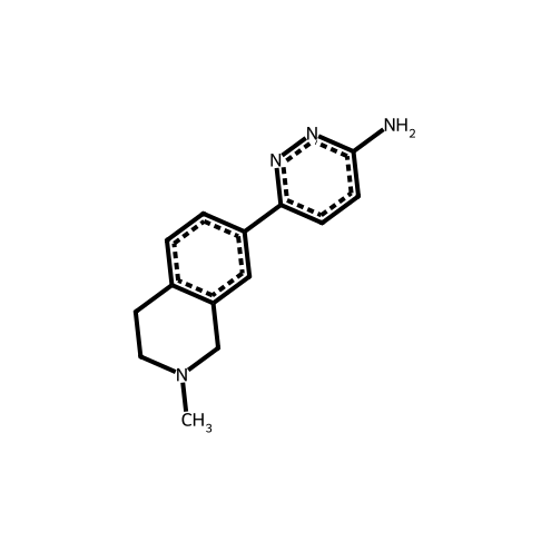 CN1CCc2ccc(-c3ccc(N)nn3)cc2C1